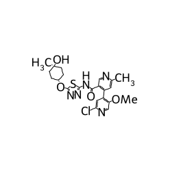 COc1cnc(Cl)cc1-c1cc(C)ncc1C(=O)Nc1nnc(O[C@H]2CC[C@](C)(O)CC2)s1